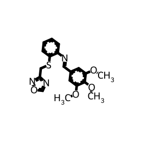 COc1cc(C=Nc2ccccc2SCc2ncon2)cc(OC)c1OC